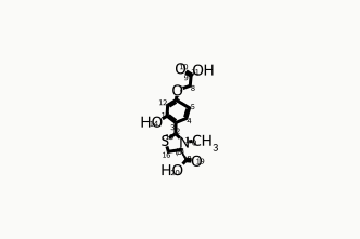 CN1C(c2ccc(OCC(=O)O)cc2O)SC[C@@H]1C(=O)O